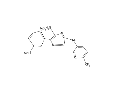 COc1ccc([N+](=O)[O-])c(-c2ncc(Nc3ccc(C(F)(F)F)cc3)nc2N)c1